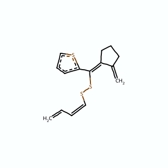 C=C/C=C\SS/C(=C1/CCCC1=C)c1cccs1